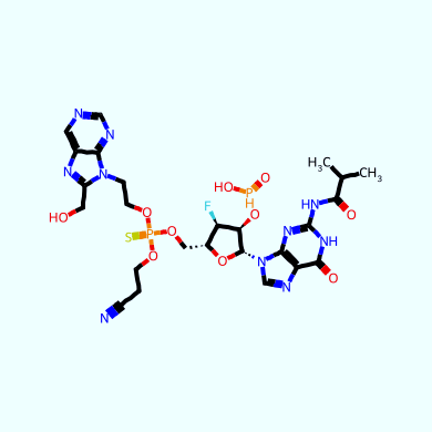 CC(C)C(=O)Nc1nc2c(ncn2[C@@H]2O[C@H](COP(=S)(OCCC#N)OCCn3c(CO)nc4cncnc43)[C@@H](F)[C@H]2O[PH](=O)O)c(=O)[nH]1